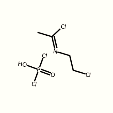 CC(Cl)=NCCCl.O=P(O)(Cl)Cl